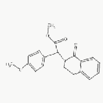 COC(=O)C(c1ccc(OC)cc1)N1CCc2ccccc2C1=O